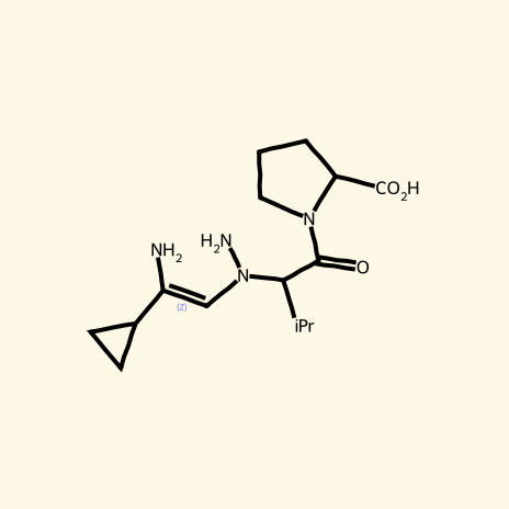 CC(C)C(C(=O)N1CCCC1C(=O)O)N(N)/C=C(\N)C1CC1